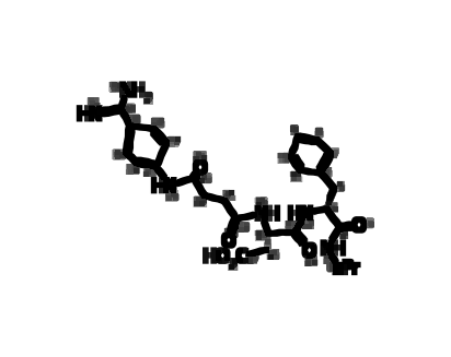 CCCNC(=O)[C@H](Cc1ccccc1)NC(=O)[C@H](CC(=O)O)NC(=O)CCC(=O)Nc1ccc(C(=N)N)cc1